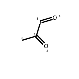 CC(=O)I=O